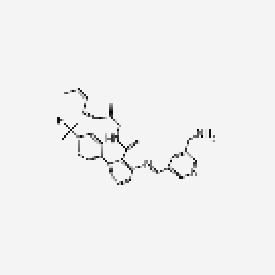 C=C(/C=C\C=C/C)CNC(=C)c1c(/N=C(\C)c2cncc(CN)c2)cccc1-c1ccc(C(C)(C)F)cc1